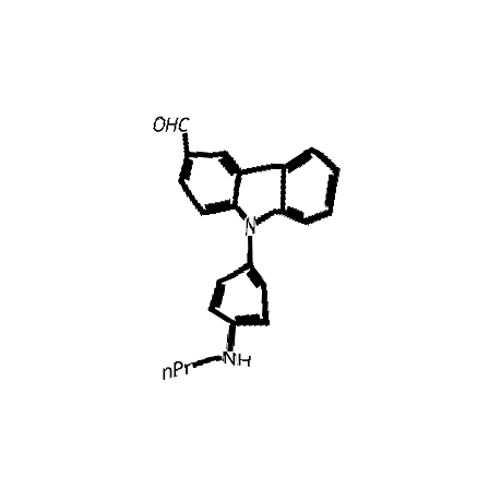 CCCNc1ccc(-n2c3ccccc3c3cc(C=O)ccc32)cc1